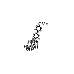 COc1ccc(-c2ccc(CN[C@](C)(C(=O)NO)C(C)(O)C(F)F)cc2)cc1